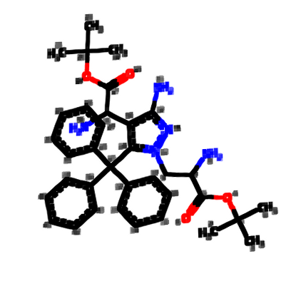 CC(C)(C)OC(=O)C(N)Cn1nc(N)c(C(N)C(=O)OC(C)(C)C)c1C(c1ccccc1)(c1ccccc1)c1ccccc1